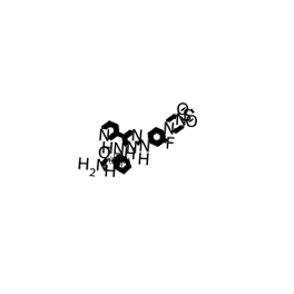 CS(=O)(=O)N1CCN(c2ccc(Nc3ncc(-c4cccnc4)c(N[C@H]4[C@@H](C(N)=O)[C@@H]5C=C[C@H]4C5)n3)cc2F)CC1